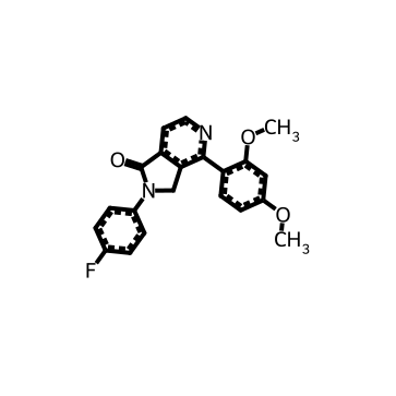 COc1ccc(-c2nccc3c2CN(c2ccc(F)cc2)C3=O)c(OC)c1